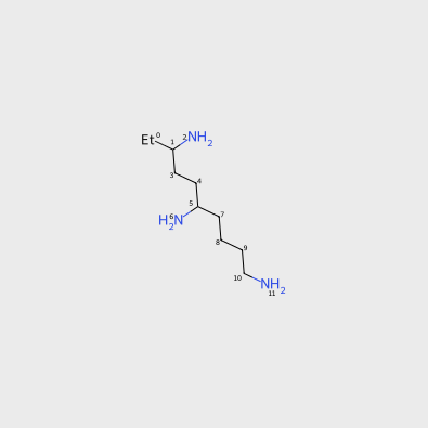 CCC(N)CCC(N)CCCCN